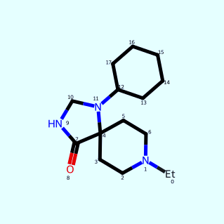 CCN1CCC2(CC1)C(=O)NCN2C1CCCCC1